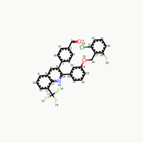 O=Cc1ccc(-c2cc3cccc(C(F)(F)F)c3nc2-c2cccc(OCc3c(F)cccc3Cl)c2)cc1